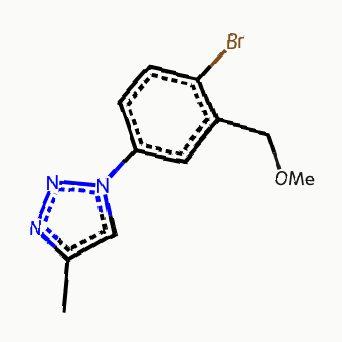 COCc1cc(-n2cc(C)nn2)ccc1Br